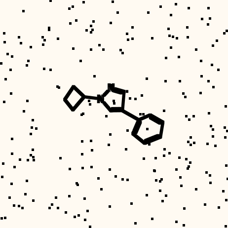 [c]1nn(C2CCC2)cc1-c1ccccc1